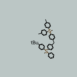 Cc1ccc(S(C)(c2ccc(C)cc2)c2ccc(Cc3ccc(S(C)(c4ccccc4)c4ccc(C(C)(C)C)cc4)cc3)cc2)cc1